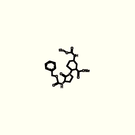 COC(=O)C1CC(NC(=O)OC(C)(C)C)CCC1N1CCC(NC(=O)OCc2ccccc2)C1=O